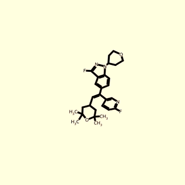 CC1(C)CC(C=C(c2ccc(F)nc2)c2ccc3c(c2)c(F)nn3C2CCOCC2)CC(C)(C)O1